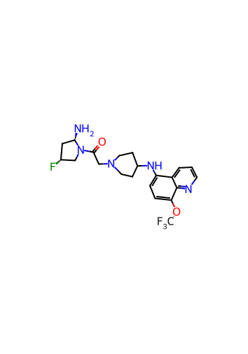 N[C@@H]1C[C@H](F)CN1C(=O)CN1CCC(Nc2ccc(OC(F)(F)F)c3ncccc23)CC1